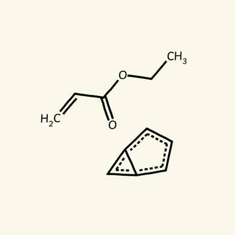 C=CC(=O)OCC.c1cc2cc-2c1